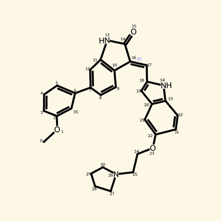 COc1cccc(-c2ccc3c(c2)NC(=O)/C3=C/c2cc3cc(OCCN4CCCC4)ccc3[nH]2)c1